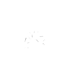 CC(C)(C)c1ccc(CN2CCN(Cc3ccc(N)cc3)C2=O)cc1